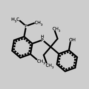 CCC(CC)(Pc1c(C)cccc1P(C)C)c1ccccc1O